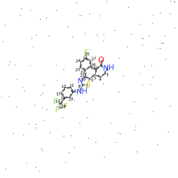 O=c1[nH]ccc2c3sc(Nc4cccc(C(F)(F)F)c4)nc3c3ccc(F)cc3c12